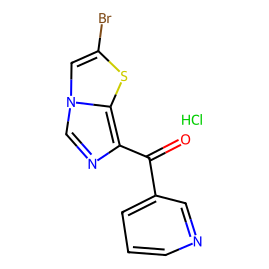 Cl.O=C(c1cccnc1)c1ncn2cc(Br)sc12